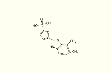 Cc1ccc2[nH]c(-c3ccc(P(=O)(O)O)o3)nc2c1C